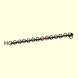 C=C(C)C(=O)OCCCOCCCOCCCOCCCOCCCOCCCOCCCOCCCOCCCOCCCOCCCOCCCOCCCO